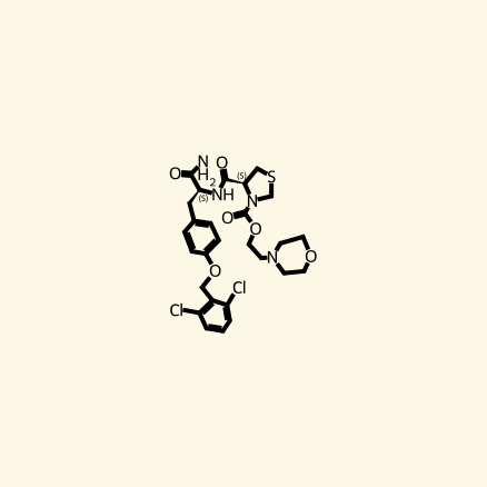 NC(=O)[C@H](Cc1ccc(OCc2c(Cl)cccc2Cl)cc1)NC(=O)[C@H]1CSCN1C(=O)OCCN1CCOCC1